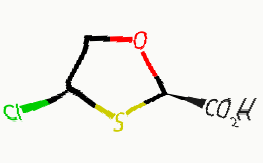 O=C(O)[C@@H]1OC[C@H](Cl)S1